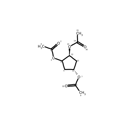 CC(=O)OC1C[C@@H](OC(C)=O)C[C@@H]1OC(C)=O